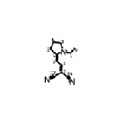 CCN1CCC/C1=C/C=C(C#N)C#N